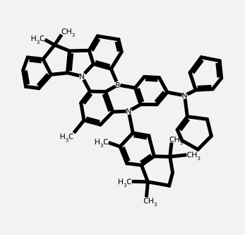 Cc1cc2c3c(c1)-n1c4c(c5cccc(c51)B3c1ccc(N(C3=CCCCC3)c3ccccc3)cc1N2c1cc2c(cc1C)C(C)(C)CCC2(C)C)C(C)(C)c1ccccc1-4